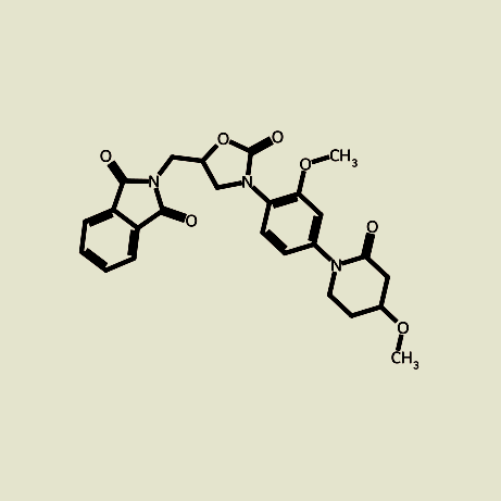 COc1cc(N2CCC(OC)CC2=O)ccc1N1CC(CN2C(=O)c3ccccc3C2=O)OC1=O